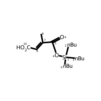 CCCC[Si](CCCC)(CCCC)OC(=O)C(C)=CC(=O)O